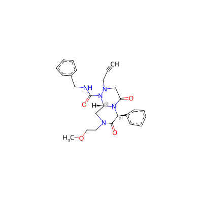 C#CCN1CC(=O)N2[C@@H](c3ccccc3)C(=O)N(CCOC)C[C@@H]2N1C(=O)NCc1ccccc1